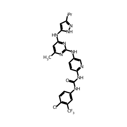 Cc1cc(Nc2cc(C(C)C)n[nH]2)nc(Nc2ccc(NC(=O)Nc3ccc(Cl)c(C(F)(F)F)c3)nc2)n1